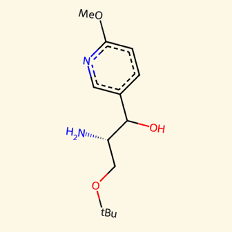 COc1ccc(C(O)[C@@H](N)COC(C)(C)C)cn1